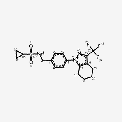 O=S(=O)(NCc1ccc(-n2nc(C(F)(F)F)c3c2CCCC3)cc1)C1CC1